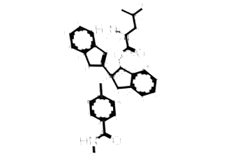 CNC(=O)c1ccc(C[C@@]2(C3=Cc4ccccc4C3)Cc3ccccc3[C@H]2OC(=O)[C@@H](N)CC(C)C)cc1